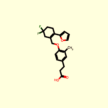 Cc1cc(CCC(=O)O)ccc1OCC1=C(c2ccco2)CCC(F)(F)C1